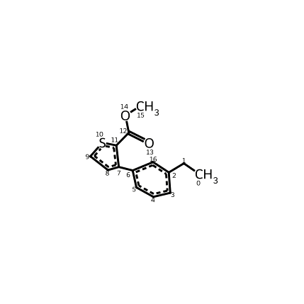 CCc1cccc(-c2ccsc2C(=O)OC)c1